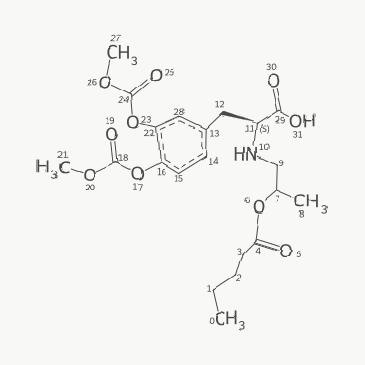 CCCCC(=O)OC(C)CN[C@@H](Cc1ccc(OC(=O)OC)c(OC(=O)OC)c1)C(=O)O